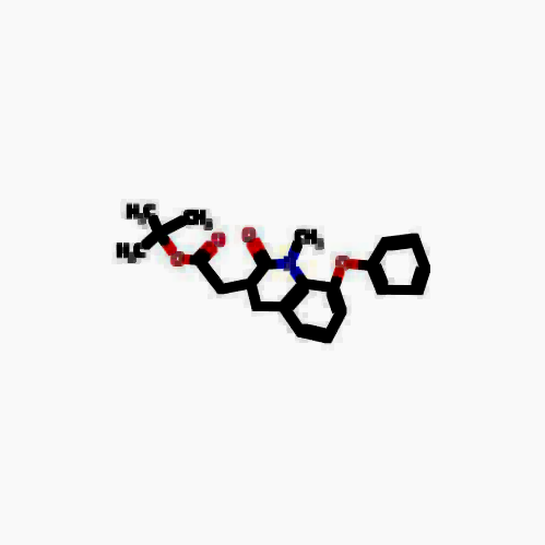 CN1C(=O)C(CC(=O)OC(C)(C)C)Cc2cccc(Oc3ccccc3)c21